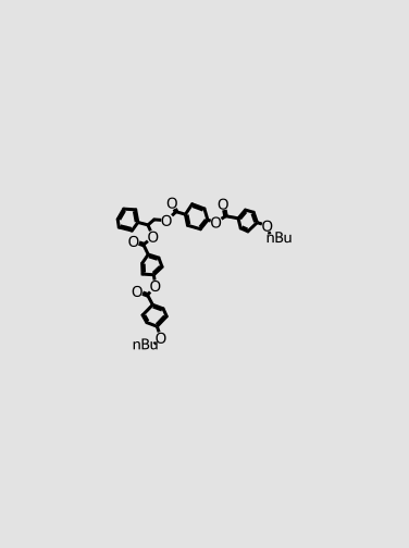 CCCCOc1ccc(C(=O)Oc2ccc(C(=O)OCC(OC(=O)c3ccc(OC(=O)c4ccc(OCCCC)cc4)cc3)c3ccccc3)cc2)cc1